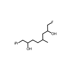 CC(C)CC(O)CCC(C)CC(O)CF